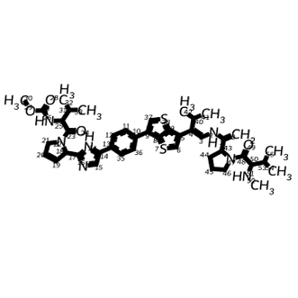 C=C(N/C=C(/c1csc2c(-c3ccc(-c4cnc(C5C=CCN5C(=O)C(NC(=O)OC)C(C)C)[nH]4)cc3)csc12)C(C)C)C1CCCN1C(=O)C(NC)C(C)C